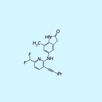 Cc1cc(Nc2nc(C(F)F)ccc2C#CC(C)C)cc2c1NC(=O)C2